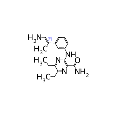 CCc1nc(Nc2cccc(/C(C)=C/N)c2)c(C(N)=O)nc1CC